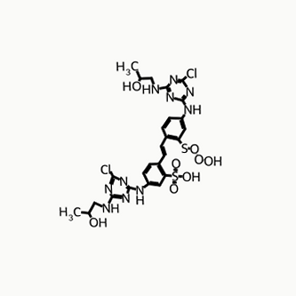 CC(O)CNc1nc(Cl)nc(Nc2ccc(/C=C/c3ccc(Nc4nc(Cl)nc(NCC(C)O)n4)cc3S(=O)(=O)O)c(SOOO)c2)n1